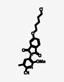 COc1nc(C#N)c(C)cc1N1C(=O)c2ccc(OCCCCCCl)cc2C1=O